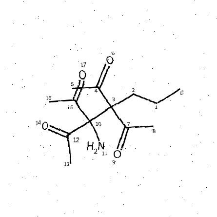 CCCC(C(C)=O)(C(C)=O)C(N)(C(C)=O)C(C)=O